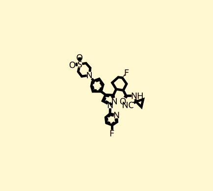 N#CC1(NC(=O)C2C[C@@H](F)CCC2c2nn(-c3ccc(F)cn3)cc2-c2ccc(N3CCS(=O)(=O)CC3)cc2)CC1